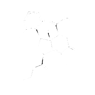 C=C(C)[C@H]1CC(=O)C(C)=C2[C@@H](C(=O)OCC)O[C@@H](c3ccccc3Br)[C@@H]21